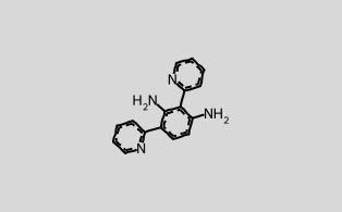 Nc1ccc(-c2ccccn2)c(N)c1-c1ccccn1